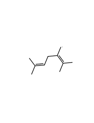 [CH2]C(CC=C(C)C)=C(C)C